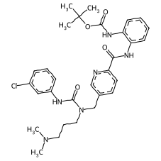 CN(C)CCCN(Cc1ccc(C(=O)Nc2ccccc2NC(=O)OC(C)(C)C)nc1)C(=O)Nc1cccc(Cl)c1